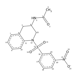 CC(=O)NC1Cc2ccccc2N(S(=O)(=O)c2cccc([N+](=O)[O-])c2)C1